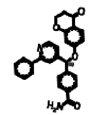 NC(=O)c1ccc([C@H](Oc2ccc3c(c2)OCCC3=O)c2ccnc(-c3ccccc3)c2)cc1